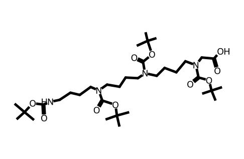 CC(C)(C)OC(=O)NCCCCN(CCCCN(CCCCN(CC(=O)O)C(=O)OC(C)(C)C)C(=O)OC(C)(C)C)C(=O)OC(C)(C)C